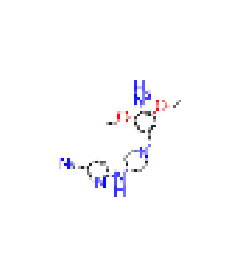 CCOc1cc(CN2CCC(Nc3ccc(C#N)cn3)CC2)cc(OCC)c1N